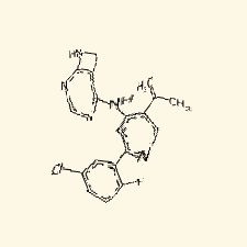 C=C(C)c1cnc(-c2cc(Cl)ccc2F)cc1Nc1ncnc2c1CN2